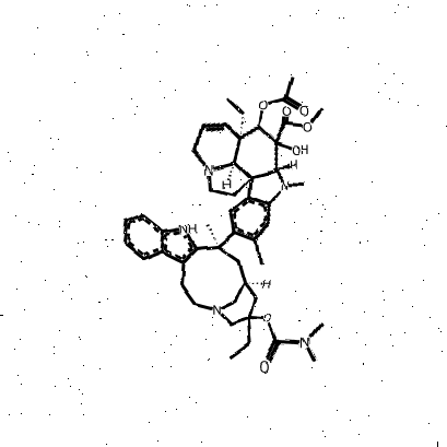 CCC1(OC(=O)N(C)C)C[C@H]2CN(CCc3c([nH]c4ccccc34)[C@@](C)(c3cc4c(cc3C)N(C)[C@H]3C(O)(C(=O)OC)[C@H](OC(C)=O)[C@]5(CC)C=CCN6CC[C@]43[C@@H]65)C2)C1